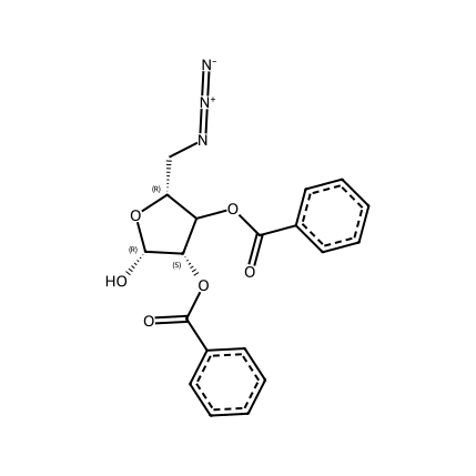 [N-]=[N+]=NC[C@H]1O[C@@H](O)[C@@H](OC(=O)c2ccccc2)C1OC(=O)c1ccccc1